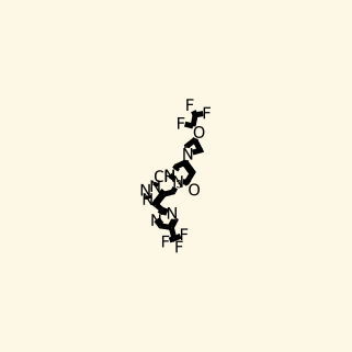 Cn1nnc(-c2ncc(C(F)(F)F)cn2)c1Cn1ncc(N2CC(OC(F)C(F)F)C2)cc1=O